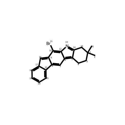 CC1(C)CCC2=c3cc4c(c(Br)c3N=C2C1)=Cc1ccccc1-4